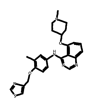 Cc1cc(Nc2ncnc3cccc(OC4CCN(C)CC4)c23)ccc1OCc1cscn1